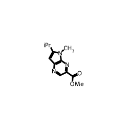 COC(=O)c1cnc2cc(C(C)C)n(C)c2n1